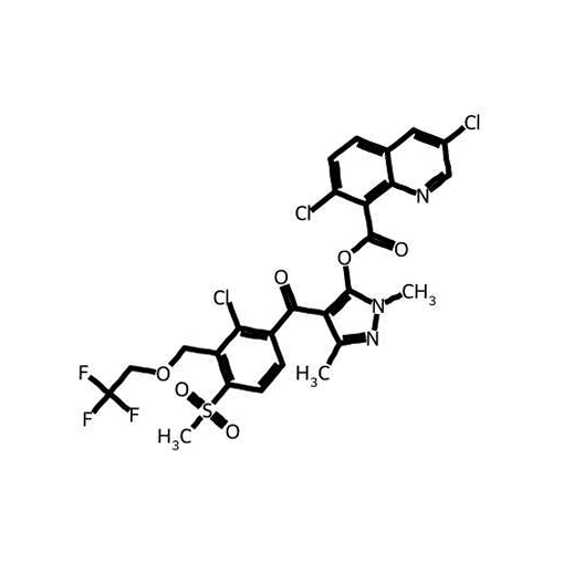 Cc1nn(C)c(OC(=O)c2c(Cl)ccc3cc(Cl)cnc23)c1C(=O)c1ccc(S(C)(=O)=O)c(COCC(F)(F)F)c1Cl